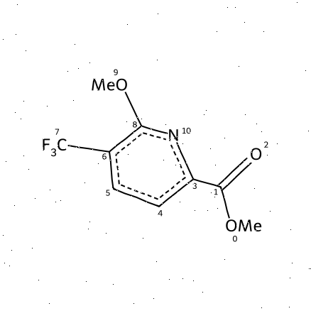 COC(=O)c1ccc(C(F)(F)F)c(OC)n1